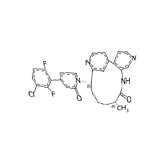 C[C@@H]1CCC[C@H](n2ccc(-c3c(F)ccc(Cl)c3F)cc2=O)c2cc(ccn2)-c2ccncc2NC1=O